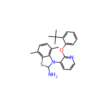 Cc1ccc(C)c2c1SC(N)N2c1cccnc1Oc1ccccc1C(C)(C)C